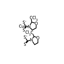 S=C([S-])N1CCOC1C(Cl)(Cl)Cl.S=C([S-])N1CCOC1C(Cl)(Cl)Cl.[Cu+2]